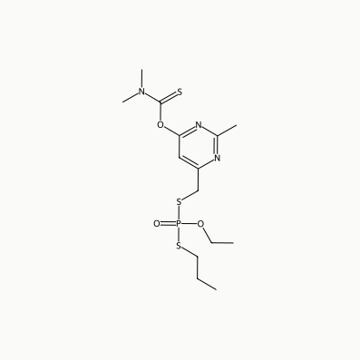 CCCSP(=O)(OCC)SCc1cc(OC(=S)N(C)C)nc(C)n1